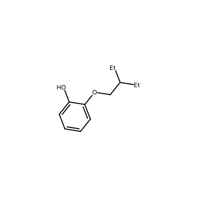 CCC(CC)COc1ccccc1O